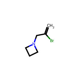 C=C(Br)CN1CCC1